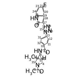 CC(=O)N1C[C@H]2[C@H](NC(=O)c3ccc(-n4cc(-c5cc6cc(F)ccc6[nH]c5=O)nn4)cc3)[C@@]2(C)C1